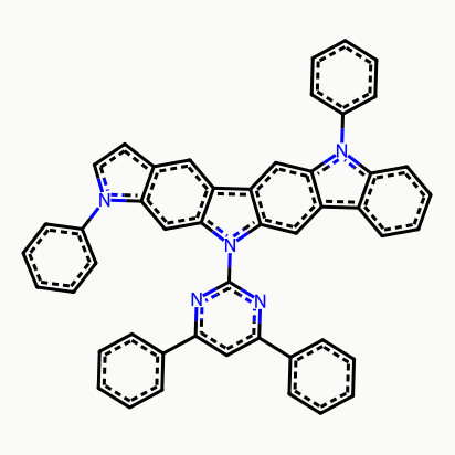 c1ccc(-c2cc(-c3ccccc3)nc(-n3c4cc5c6ccccc6n(-c6ccccc6)c5cc4c4cc5ccn(-c6ccccc6)c5cc43)n2)cc1